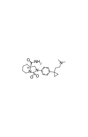 CN(C)CCC1(c2ccc(N3C[C@@]4(C(N)=O)[CH]CCCN4S3(=O)=O)cc2)CC1